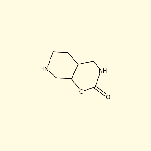 O=C1NCC2CCNCC2O1